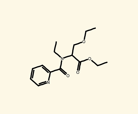 CCOCC(C(=O)OCC)N(CC)C(=O)c1ccccn1